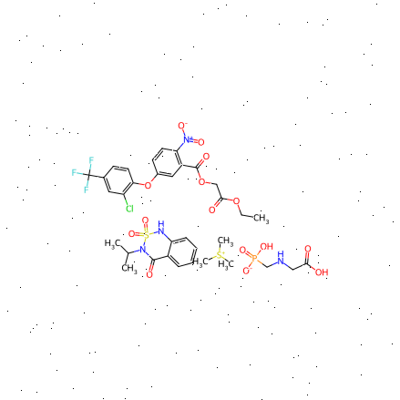 CC(C)N1C(=O)c2ccccc2NS1(=O)=O.CCOC(=O)COC(=O)c1cc(Oc2ccc(C(F)(F)F)cc2Cl)ccc1[N+](=O)[O-].C[S+](C)C.O=C(O)CNCP(=O)([O-])O